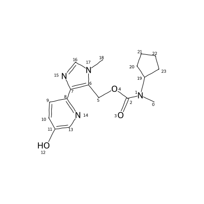 CN(C(=O)OCc1c(-c2ccc(O)cn2)ncn1C)C1CCCC1